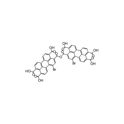 O=C(O)c1ccc2c3ccc(C(=O)O)c4c(C(=O)OC(=O)c5cc(Br)c6c7ccc(C(=O)O)c8c(C(=O)O)ccc(c9ccc(C(=O)O)c5c96)c87)cc(Br)c(c5ccc(C(=O)O)c1c25)c43